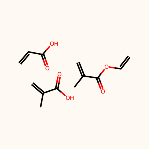 C=C(C)C(=O)O.C=CC(=O)O.C=COC(=O)C(=C)C